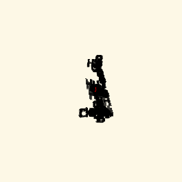 Cc1sc2c(c1C)C(c1ccc(Cl)cc1)=N[C@@H](CC(=O)NCCC[C@@]13OB(c4ccccc4CCC4CN(c5ccc(N6CCC(=O)NC6=O)cc5)C4)O[C@@H]1C[C@@H]1C[C@H]3C1(C)C)c1nnc(C)n1-2